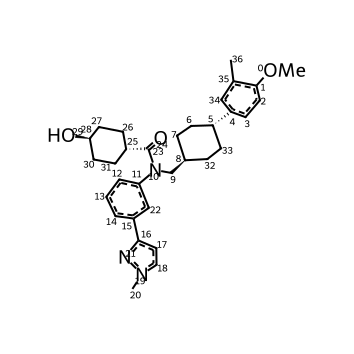 COc1ccc([C@H]2CC[C@H](CN(c3cccc(-c4ccn(C)n4)c3)C(=O)[C@H]3CC[C@H](O)CC3)CC2)cc1C